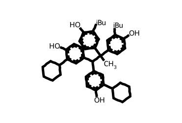 CCC(C)c1cc(C(C)(c2ccc(O)c(C(C)CC)c2)C(c2ccc(O)c(C3CCCCC3)c2)c2ccc(O)c(C3CCCCC3)c2)ccc1O